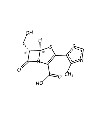 Cc1ncsc1C1=C(C(=O)O)N2C(=O)[C@H](CO)[C@H]2S1